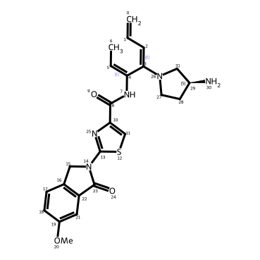 C=C/C=C(\C(=C/C)NC(=O)c1csc(N2Cc3ccc(OC)cc3C2=O)n1)N1CC[C@H](N)C1